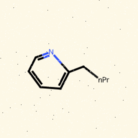 [CH2]CCCc1ccccn1